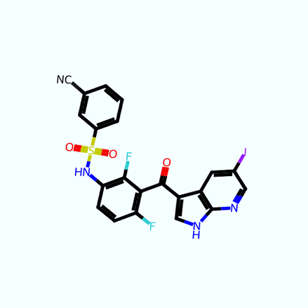 N#Cc1cccc(S(=O)(=O)Nc2ccc(F)c(C(=O)c3c[nH]c4ncc(I)cc34)c2F)c1